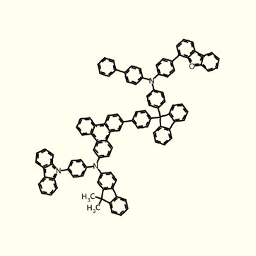 CC1(C)c2ccccc2-c2ccc(N(c3ccc(-n4c5ccccc5c5ccccc54)cc3)c3ccc4c5cc(-c6ccc(C7(c8ccc(N(c9ccc(-c%10ccccc%10)cc9)c9ccc(-c%10cccc%11c%10oc%10ccccc%10%11)cc9)cc8)c8ccccc8-c8ccccc87)cc6)ccc5c5ccccc5c4c3)cc21